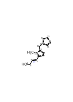 Cn1c(/C=C/CO)ccc1Cn1ccnc1